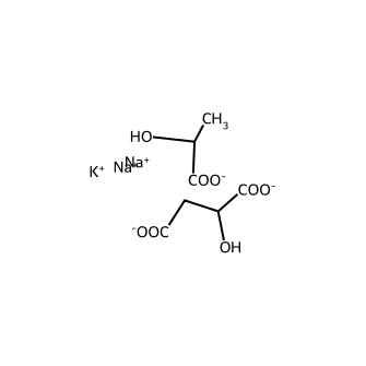 CC(O)C(=O)[O-].O=C([O-])CC(O)C(=O)[O-].[K+].[Na+].[Na+]